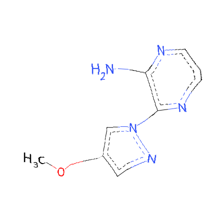 COc1cnn(-c2nccnc2N)c1